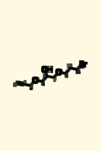 C#CCOCC(O)COCCCBr